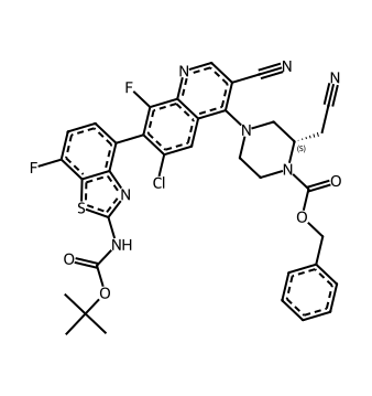 CC(C)(C)OC(=O)Nc1nc2c(-c3c(Cl)cc4c(N5CCN(C(=O)OCc6ccccc6)[C@@H](CC#N)C5)c(C#N)cnc4c3F)ccc(F)c2s1